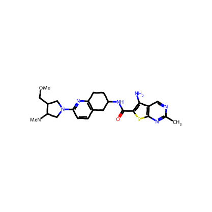 CNC1CN(c2ccc3c(n2)CCC(NC(=O)c2sc4nc(C)ncc4c2N)C3)CC1COC